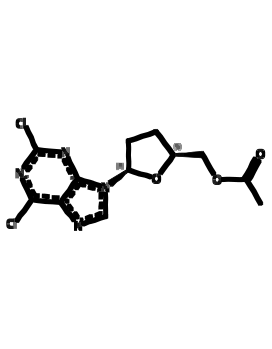 CC(=O)OC[C@@H]1CC[C@H](n2cnc3c(Cl)nc(Cl)nc32)O1